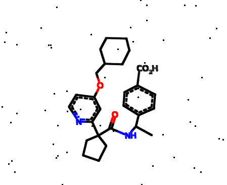 CC(NC(=O)C1(c2cc(OCC3CCCCC3)ccn2)CCCC1)c1ccc(C(=O)O)cc1